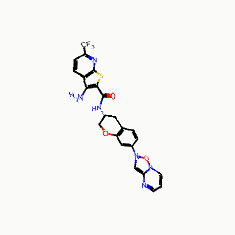 Nc1c(C(=O)N[C@H]2COc3cc(N4C=C5N=CC=CN5O4)ccc3C2)sc2nc(C(F)(F)F)ccc12